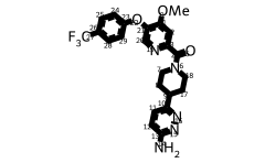 COc1cc(C(=O)N2CCC(c3ccc(N)nn3)CC2)ncc1Oc1ccc(C(F)(F)F)cc1